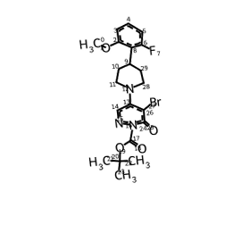 COc1cccc(F)c1C1CCN(c2cnn(C(=O)OC(C)(C)C)c(=O)c2Br)CC1